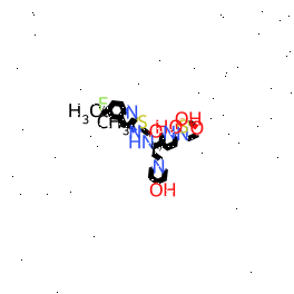 CC(C)[C@]1(F)CCc2nc3sc(C(=O)N[C@H](CCN4CCC(O)CC4)c4ccc(N5CCOCS5(O)O)nc4)nc3cc2C1